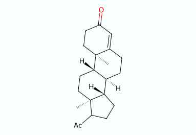 CC(=O)C1CC[C@H]2[C@@H]3CCC4=CC(=O)CC[C@]4(C)[C@H]3CC[C@]12C